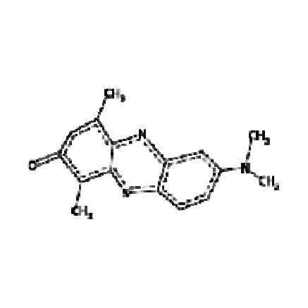 Cc1cc(=O)c(C)c2sc3ccc(N(C)C)cc3nc1-2